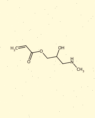 C=CC(=O)OCC(O)CNC